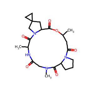 CC1CC(=O)N2CCCC2C(=O)N(C)CC(=O)NC(C)C(=O)N2CC3(CC3)CC2C(=O)O1